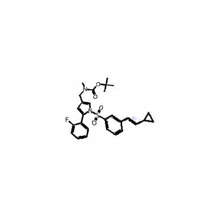 CN(Cc1cc(-c2ccccc2F)n(S(=O)(=O)c2cccc(/C=C/C3CC3)c2)c1)C(=O)OC(C)(C)C